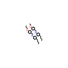 CCCCc1ccc(/N=C/c2ccc(OCC)cc2)cc1.CCCCc1ccc(/N=C/c2ccc(OCCC)cc2)cc1